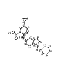 O=C(O)c1cc(C2CC2)cnc1Nc1ccc2c(ccn2CC2CCCCC2)c1